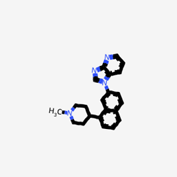 CN1CCC(c2cccc3ccc(-n4cnc5ncccc54)cc23)CC1